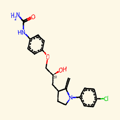 C=C1C(C[C@H](O)COc2ccc(NC(N)=O)cc2)CCN1c1ccc(Cl)cc1